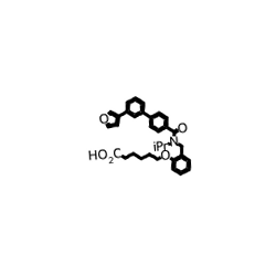 CC(C)N(Cc1ccccc1OCCCCCC(=O)O)C(=O)c1ccc(-c2cccc(-c3ccoc3)c2)cc1